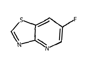 Fc1cnc2ncsc2c1